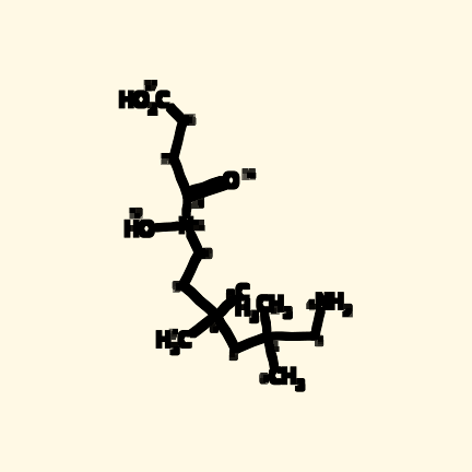 CC(C)(CN)CC(C)(C)CCN(O)C(=O)CCC(=O)O